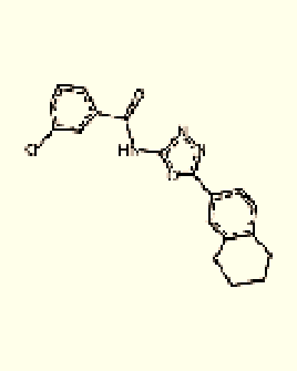 O=C(Nc1nnc(-c2ccc3c(c2)CCCC3)o1)c1cccc(Cl)c1